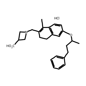 CC1=C(CN2CC(C(=O)O)C2)CCc2cc(OC(C)CCc3ccccc3)ccc21.Cl